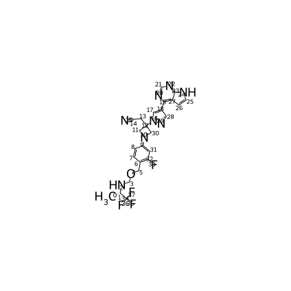 C[C@H](NCOCc1ccc(N2CC(CC#N)(n3cc(-c4ncnc5[nH]ccc45)cn3)C2)cc1F)C(F)(F)F